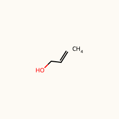 C.C=CCO